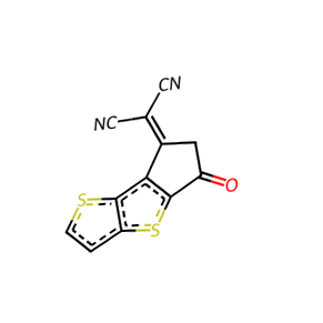 N#CC(C#N)=C1CC(=O)c2sc3ccsc3c21